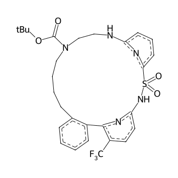 CC(C)(C)OC(=O)N1CCCCc2ccccc2-c2nc(ccc2C(F)(F)F)NS(=O)(=O)c2cccc(n2)NCC1